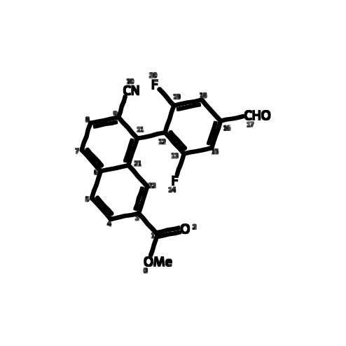 COC(=O)c1ccc2ccc(C#N)c(-c3c(F)cc(C=O)cc3F)c2c1